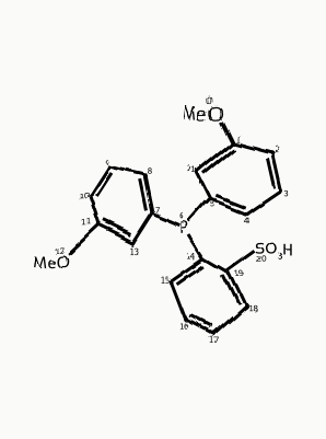 COc1cccc(P(c2cccc(OC)c2)c2ccccc2S(=O)(=O)O)c1